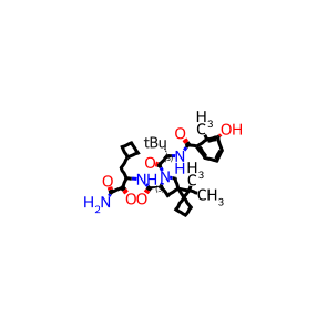 Cc1c(O)cccc1C(=O)N[C@H](C(=O)N1CC2(C[C@H]1C(=O)NC(CC1CCC1)C(=O)C(N)=O)C(C)(C)C21CCC1)C(C)(C)C